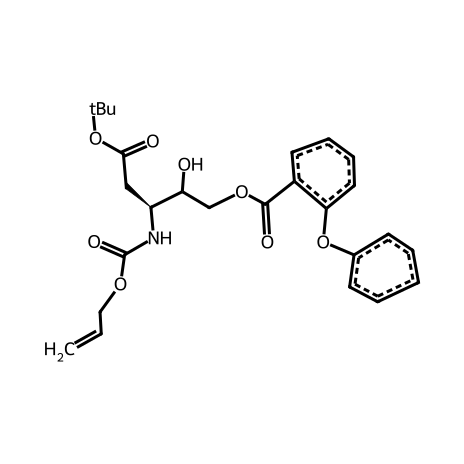 C=CCOC(=O)N[C@@H](CC(=O)OC(C)(C)C)C(O)COC(=O)c1ccccc1Oc1ccccc1